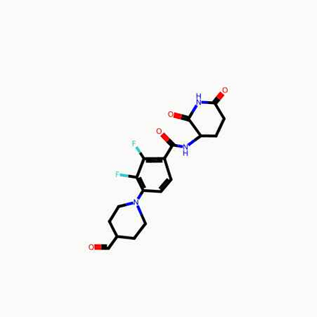 O=CC1CCN(c2ccc(C(=O)NC3CCC(=O)NC3=O)c(F)c2F)CC1